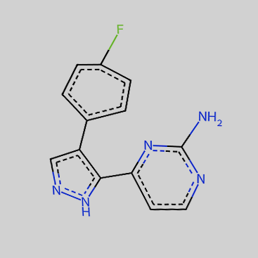 Nc1nccc(-c2[nH]ncc2-c2ccc(F)cc2)n1